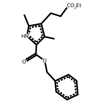 CCOC(=O)CCc1c(C)[nH]c(C(=O)OCc2ccccc2)c1C